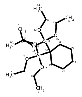 CCO[Si](OCC)(OCC)C1([Si](OCC)(OCC)OCC)CCCCC1